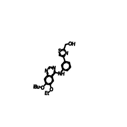 CCOc1cc2c(Nc3cccc(-c4csc(CO)n4)c3)ncnc2cc1OC(C)CC